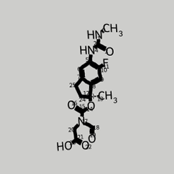 CNC(=O)Nc1cc2c(cc1F)[C@@](C)(OC(=O)N(C=O)CC(=O)O)CC2